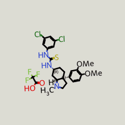 COc1ccc([C@@]23CC[C@@H](NC(=S)Nc4cc(Cl)cc(Cl)c4)C[C@@H]2N(C)CC3)cc1OC.O=C(O)C(F)(F)F